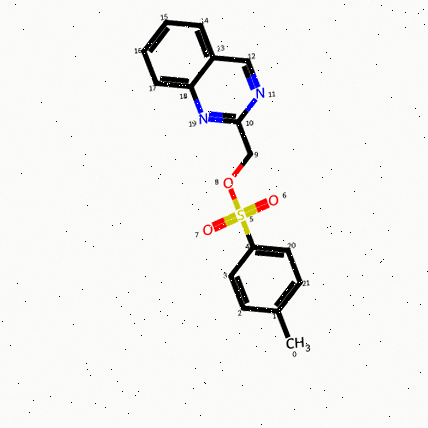 Cc1ccc(S(=O)(=O)OCc2ncc3ccccc3n2)cc1